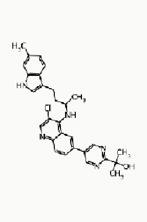 Cc1ccc2c(CCC(C)Nc3c(Cl)cnc4ccc(-c5cnc(C(C)(C)O)nc5)cc34)c[nH]c2c1